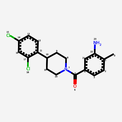 Cc1ccc(C(=O)N2CCC(c3ccc(Cl)cc3Cl)CC2)cc1N